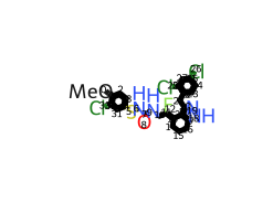 COc1ccc(SNC(=O)NC/C(F)=C2\CCCc3[nH]nc(Cc4ccc(Cl)cc4Cl)c32)cc1Cl